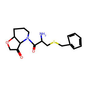 NC(CSCc1ccccc1)C(=O)N1CCCC2OCC(=O)C21